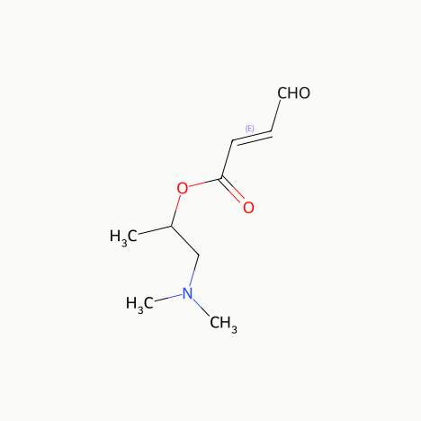 CC(CN(C)C)OC(=O)/C=C/C=O